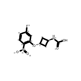 O=C(O)N[C@H]1C[C@H](Oc2cc(F)ccc2[N+](=O)[O-])C1